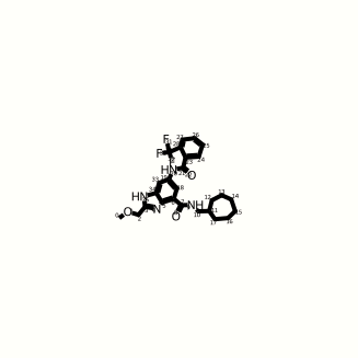 COCc1nc2c(C(=O)NCC3CCCCCC3)cc(NC(=O)c3ccccc3C(F)(F)F)cc2[nH]1